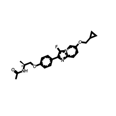 CC(=O)N[C@@H](C)COc1ccc(-c2nc3ccc(OCC4CC4)cn3c2F)cc1